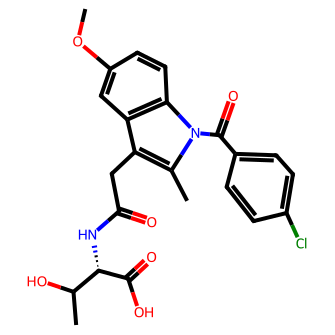 COc1ccc2c(c1)c(CC(=O)N[C@H](C(=O)O)C(C)O)c(C)n2C(=O)c1ccc(Cl)cc1